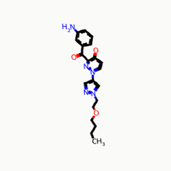 CCCCOCCn1cc(-n2ccc(=O)c(C(=O)c3cccc(N)c3)n2)cn1